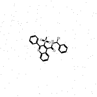 CC[C@H](NC(=O)c1c(S(C)(=O)=O)c(-c2ccccc2)nc2ccccc12)c1ccccc1